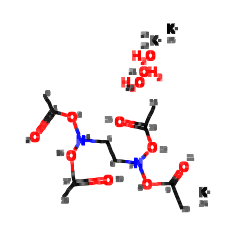 CC(=O)ON(CCN(OC(C)=O)OC(C)=O)OC(C)=O.O.O.O.[K].[K].[K]